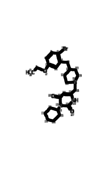 CCOc1ccc(Br)c(CC2CCN(Cc3cc(=O)n(C4CCCCC4)c(=O)[nH]3)CC2)c1